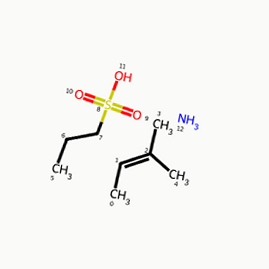 CC=C(C)C.CCCS(=O)(=O)O.N